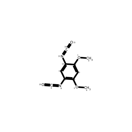 COc1cc(OC)c(N=C=O)cc1N=C=O